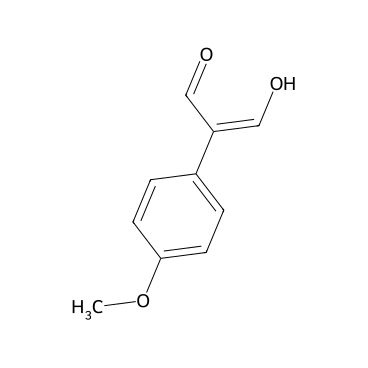 COc1ccc(C(C=O)=CO)cc1